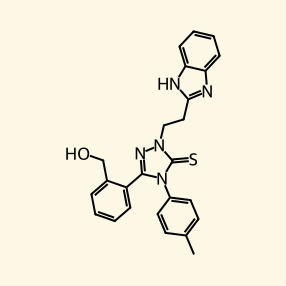 Cc1ccc(-n2c(-c3ccccc3CO)nn(CCc3nc4ccccc4[nH]3)c2=S)cc1